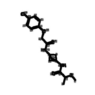 COC(C)C(=O)NC12CC(NC(=O)COc3ccc(Cl)cc3)(C1)C2